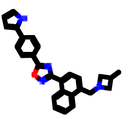 CC1CN(Cc2ccc(-c3noc(-c4ccc(-c5ccc[nH]5)cc4)n3)c3ccccc23)C1